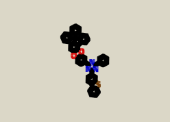 c1ccc(-c2nc(-c3ccc4c(c3)Oc3c(ccc5c3-c3ccccc3C5(c3ccccc3)c3ccccc3)O4)nc(-c3ccc4c(c3)sc3ccccc34)n2)cc1